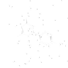 CCc1cc(Cl)nc(-c2ccc(OC)nc2)c1